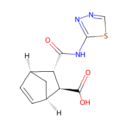 O=C(Nc1nncs1)[C@@H]1[C@@H](C(=O)O)[C@H]2C=C[C@@H]1C2